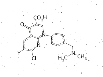 CN(C)Cc1ccc(-n2cc(C(=O)O)c(=O)c3cc(F)c(Cl)nc32)cc1